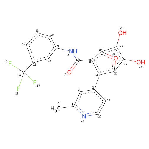 Cc1cc(-c2c(C(=O)Nc3cccc(C(F)(F)F)c3)c3oc2c(O)c3O)ccn1